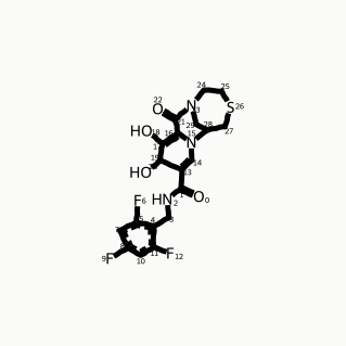 O=C(NCc1c(F)cc(F)cc1F)C1=CN2C(=C(O)C1O)C(=O)N1CCSCC2C1